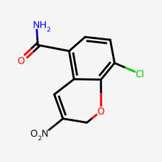 NC(=O)c1ccc(Cl)c2c1C=C([N+](=O)[O-])CO2